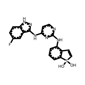 OS1(O)C=Cc2c(Nc3nccc(Nc4n[nH]c5ccc(F)cc45)n3)cccc21